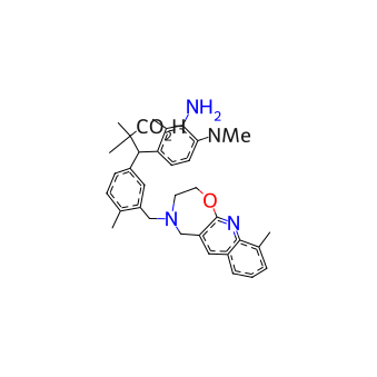 CNc1ccc(C(c2ccc(C)c(CN3CCOc4nc5c(C)cccc5cc4C3)c2)C(C)(C)C(=O)O)c(C)c1N